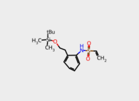 C=CS(=O)(=O)Nc1ccccc1CCO[Si](C)(C)C(C)(C)C